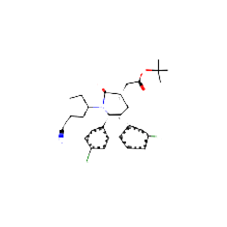 CCC(CCC#N)N1C(=O)[C@@H](CC(=O)OC(C)(C)C)C[C@H](c2cccc(Cl)c2)[C@H]1c1ccc(Cl)cc1